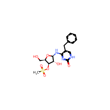 CS(=O)(=O)O[C@@H]1[C@@H](O)[C@H](Nc2nc(=O)[nH]cc2Cc2ccccc2)O[C@@H]1CO